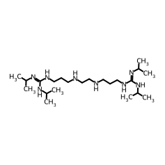 CC(C)N=C(NCCCNCCNCCCNC(=NC(C)C)NC(C)C)NC(C)C